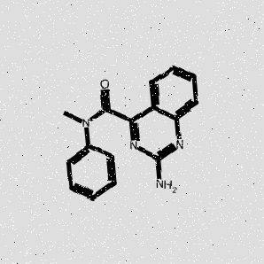 CN(C(=O)c1nc(N)nc2ccccc12)c1ccccc1